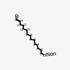 CCCCCCCCCCCCCCCCCCCCCCC=C[P]